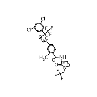 Cc1cc(C2=NOC(c3cc(Cl)cc(Cl)c3)(C(F)(F)F)C2)ccc1C(=O)N[C@@H]1CON(CC(F)(F)F)C1=O